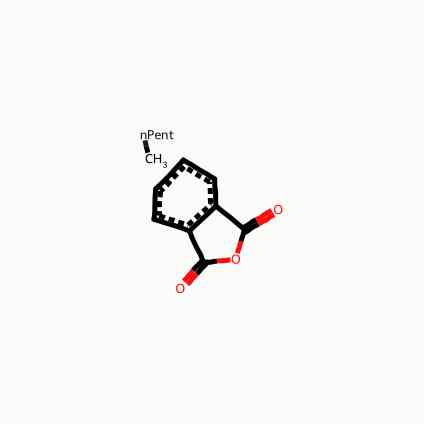 CCCCCC.O=C1OC(=O)c2ccccc21